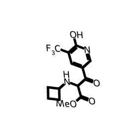 COC(=O)C(NC1CCC1)C(=O)c1cnc(O)c(C(F)(F)F)c1